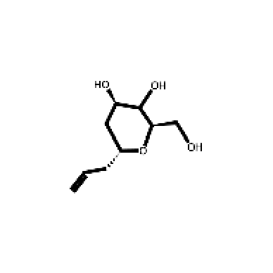 C=CC[C@@H]1C[C@@H](O)C(O)[C@@H](CO)O1